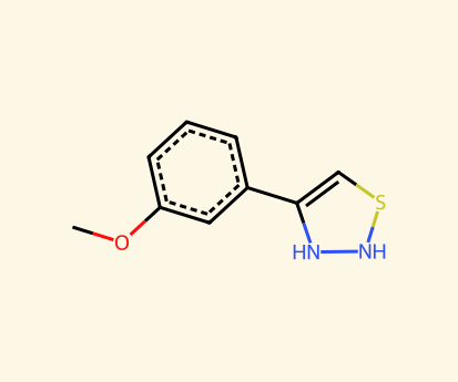 COc1cccc(C2=CSNN2)c1